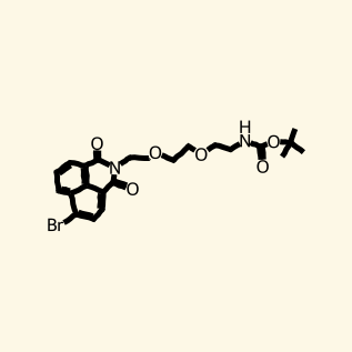 CC(C)(C)OC(=O)NCCOCCOCCN1C(=O)c2cccc3c(Br)ccc(c23)C1=O